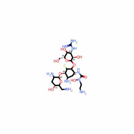 N=C(N)N[C@@H]1C(O)[C@@H](CO)OC(OC2C(F)[C@H](O[C@H]3OC(CN)[C@@H](O)CC3N)C(N)C[C@H]2NC(=O)N(O)CCN)[C@@H]1O